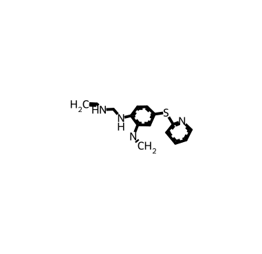 C=CNCNc1ccc(Sc2ccccn2)cc1N=C